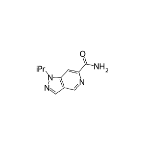 CC(C)n1ncc2cnc(C(N)=O)cc21